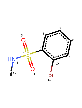 CC(C)NS(=O)(=O)c1ccccc1Br